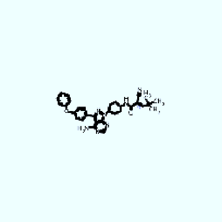 CC(C)(C)/C=C(\C#N)C(=O)NC1CCC(n2nc(-c3ccc(Oc4ccccc4)cc3)c3c(N)ncnc32)CC1